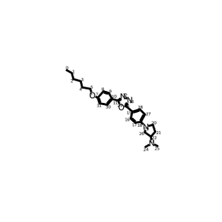 CCCCCCOc1ccc(-c2nnc(-c3ccc(N4CCC(N(C)C)C4)cc3)o2)cc1